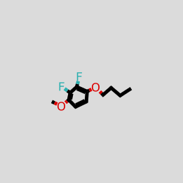 CCCCOc1ccc(OC)c(F)c1F